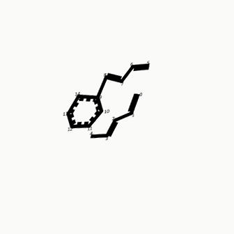 C=CC=CC.C=CC=Cc1ccccc1